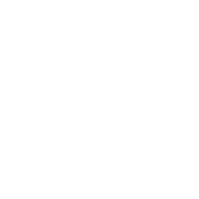 COc1ccc(-c2cnc3ccc([NH])nn23)cc1F